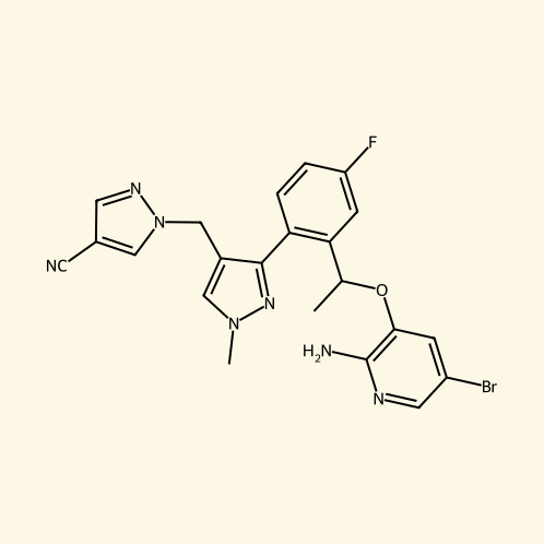 CC(Oc1cc(Br)cnc1N)c1cc(F)ccc1-c1nn(C)cc1Cn1cc(C#N)cn1